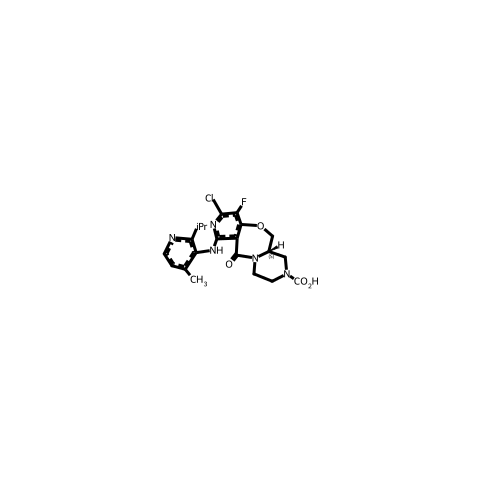 Cc1ccnc(C(C)C)c1Nc1nc(Cl)c(F)c2c1C(=O)N1CCN(C(=O)O)C[C@H]1CO2